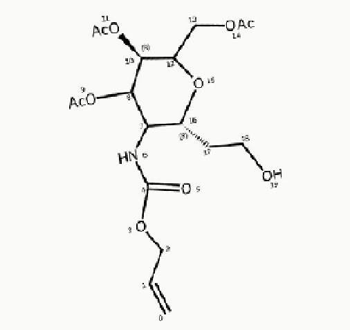 C=CCOC(=O)NC1C(OC(C)=O)[C@@H](OC(C)=O)C(COC(C)=O)O[C@@H]1CCO